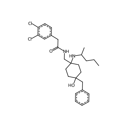 CCCC(C)NC1(CNC(=O)Cc2ccc(Cl)c(Cl)c2)CCC(O)(Cc2ccccc2)CC1